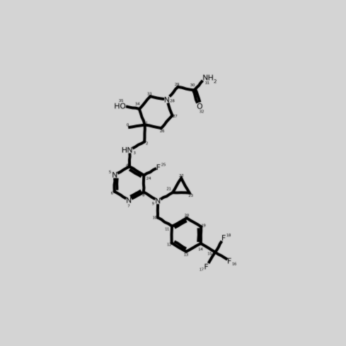 CC1(CNc2ncnc(N(Cc3ccc(C(F)(F)F)cc3)C3CC3)c2F)CCN(CC(N)=O)CC1O